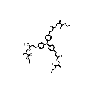 C=C(COC(=O)CCc1ccc(N(c2ccc(CCC(=O)OCC(=C)C(=O)OCC)cc2)c2ccc(CCC(O)OCC(=C)C(=O)OCC)cc2)cc1)C(=O)OCC